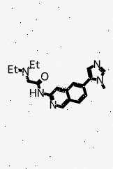 CCN(CC)CC(=O)Nc1cc2cc(-c3cncn3C)ccc2cn1